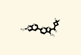 Cc1c(C(=O)C2CC(F)(F)C2)sc2nc(-c3cnc4nn(C)cc4c3)ccc12